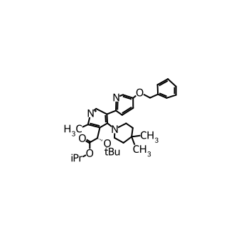 Cc1ncc(-c2ccc(OCc3ccccc3)cn2)c(N2CCC(C)(C)CC2)c1[C@H](OC(C)(C)C)C(=O)OC(C)C